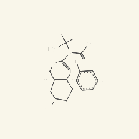 CC(C)(C)N(C(=O)O)C1=N[C@@]2(c3ccccc3F)CC[C@@H](F)C[C@H]2CS1